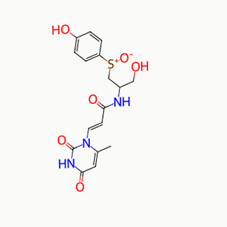 Cc1cc(=O)[nH]c(=O)n1C=CC(=O)NC(CO)C[S+]([O-])c1ccc(O)cc1